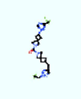 O=C(N1CC2(CC(Cc3cnn(CC(F)(F)F)n3)C2)C1)N1CC2(CC(n3cnc(C(F)(F)F)n3)C2)C1